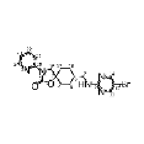 O=C1O[C@]2(CC[C@H](CNc3ncc(Br)cn3)CC2)CN1c1ccccn1